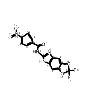 O=C(Nc1nc2cc3c(cc2[nH]1)OC(F)(F)O3)c1ccc([N+](=O)[O-])cc1